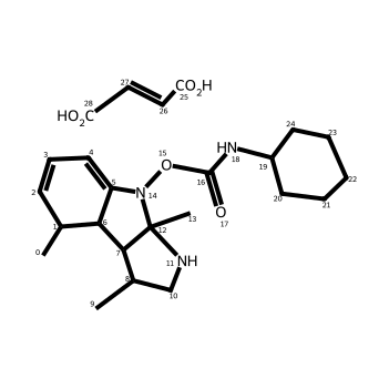 CC1C=CC=C2C1C1C(C)CNC1(C)N2OC(=O)NC1CCCCC1.O=C(O)C=CC(=O)O